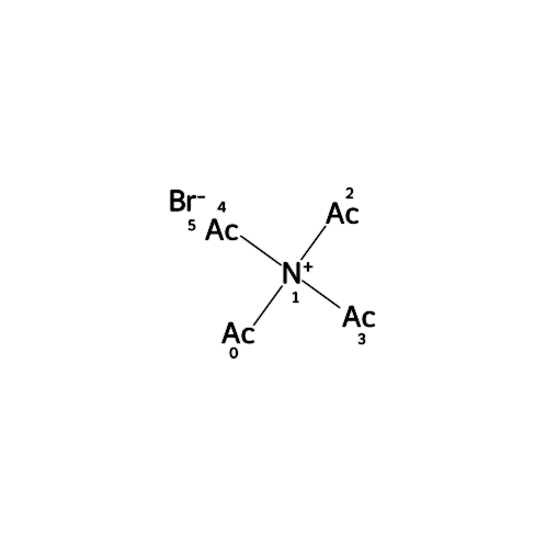 CC(=O)[N+](C(C)=O)(C(C)=O)C(C)=O.[Br-]